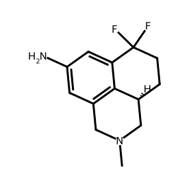 CN1Cc2cc(N)cc3c2[C@@H](CCC3(F)F)C1